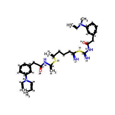 C=CN(C)c1cccc(CC(=O)NC(=N)SC(=N)CCCC(=C)SC(=C)NC(=O)Cc2cccc(N(C=C)/C=C\C)c2)c1